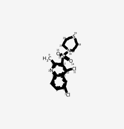 Cc1nc2ccc(Cl)cc2c(Cl)c1S(=O)(=O)N1CCSCC1